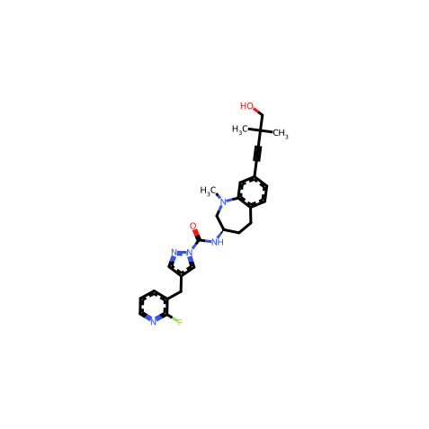 CN1C[C@H](NC(=O)n2cc(Cc3cccnc3F)cn2)CCc2ccc(C#CC(C)(C)CO)cc21